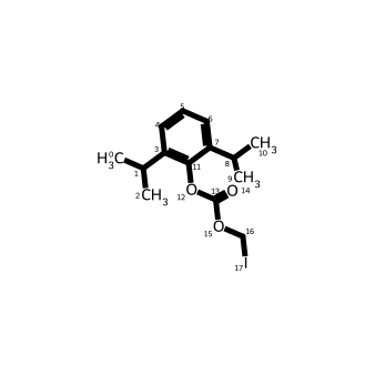 CC(C)c1cccc(C(C)C)c1OC(=O)OCI